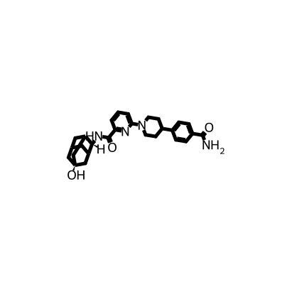 NC(=O)c1ccc(C2CCN(c3cccc(C(=O)N[C@H]4C5CC6CC4C[C@](O)(C6)C5)n3)CC2)cc1